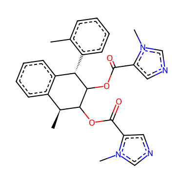 Cc1ccccc1[C@H]1c2ccccc2[C@H](C)C(OC(=O)c2cncn2C)C1OC(=O)c1cncn1C